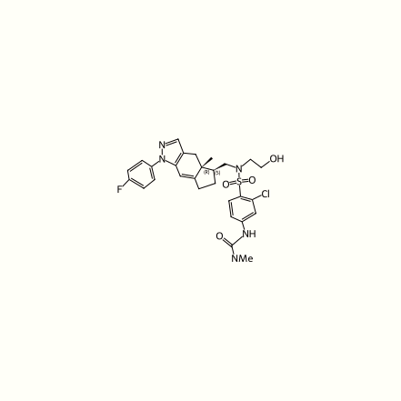 CNC(=O)Nc1ccc(S(=O)(=O)N(CCO)C[C@H]2CCC3=Cc4c(cnn4-c4ccc(F)cc4)C[C@@]32C)c(Cl)c1